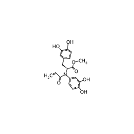 C=CC(=O)N(c1ccc(O)c(O)c1)[C@@H](Cc1ccc(O)c(O)c1)C(=O)OC